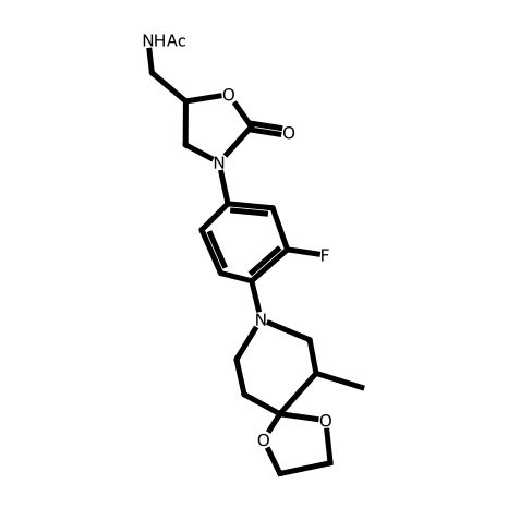 CC(=O)NCC1CN(c2ccc(N3CCC4(OCCO4)C(C)C3)c(F)c2)C(=O)O1